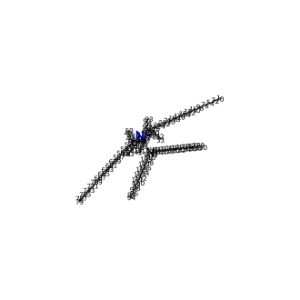 CCCCCCCCCCCCCCCCCCCCCCCCCCCCc1c(CCCC)cc(C2=CC(CCCC)=C(c3cc(CCCC)c(CCCCCCCCCCCCCCCCCCCCCCCCCCCC)c(CCCC)c3)[N+]2=[N-])cc1CCCC.CCCCCCCCCCCCCCCCC[CH2][Ni][CH2]CCCCCCCCCCCCCCCCC